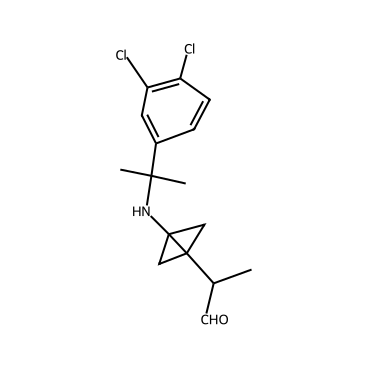 CC(C=O)C12CC1(NC(C)(C)c1ccc(Cl)c(Cl)c1)C2